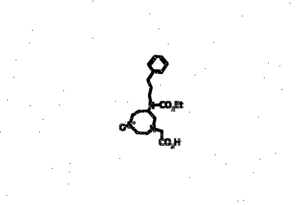 CCOC(=O)N(CCCc1ccccc1)C1CC[S+]([O-])CCN(CC(=O)O)C1